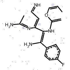 C=C(NC(=C(N)c1ccc(F)cc1)C(=C/C=N)/N=C(\C)N)O/C=C\C